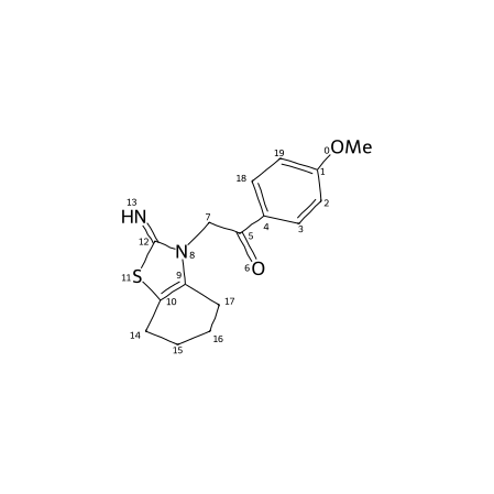 COc1ccc(C(=O)Cn2c3c(sc2=N)CCCC3)cc1